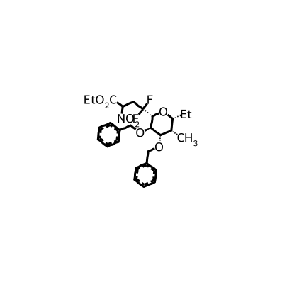 CCOC(=O)C(CC(F)(F)[C@@H]1O[C@H](CC)[C@H](C)[C@H](OCc2ccccc2)[C@H]1OCc1ccccc1)[N+](=O)[O-]